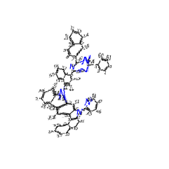 c1ccc(-c2nc(-c3ccc4ccccc4c3)nc(-c3ccc(-n4c5ccccc5c5cc6c7c8ccccc8ccc7n(-c7ccccn7)c6cc54)c4ccccc34)n2)cc1